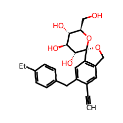 C#Cc1cc2c(cc1Cc1ccc(CC)cc1)[C@]1(OC2)O[C@H](CO)[C@@H](O)[C@H](O)[C@H]1O